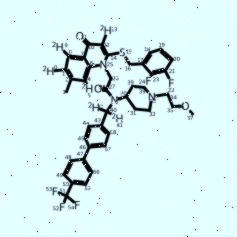 [2H]c1c(C)c([2H])c2c(c1[2H])c(=O)c([2H])c(SCc1cccc(F)c1F)n2CC(=O)N(C1CCN(CCOC)CC1)C([2H])([2H])c1ccc(-c2ccc(C(F)(F)F)cc2)cc1